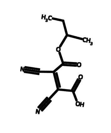 CCC(C)OC(=O)C(C#N)=C(C#N)C(=O)O